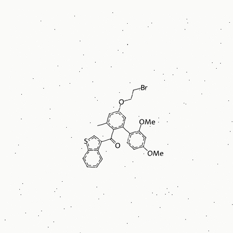 COc1ccc(-c2cc(OCCBr)cc(C)c2C(=O)c2csc3ccccc23)c(OC)c1